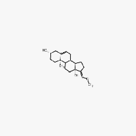 CO/N=C1\CCC2C3CC=C4C[C@@H](O)CC[C@]4(C)C3CC[C@]12C